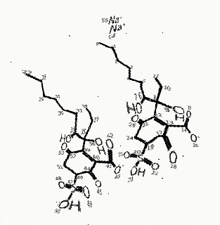 CCCCCCC(O)C(O)(CC)C1=C(C(=O)[O-])C(=O)C(S(=O)(=O)O)CC1=O.CCCCCCC(O)C(O)(CC)C1=C(C(=O)[O-])C(=O)C(S(=O)(=O)O)CC1=O.[Na+].[Na+]